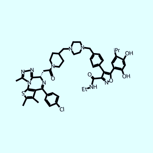 CCNC(=O)c1noc(-c2cc(C(C)C)c(O)cc2O)c1-c1ccc(CN2CCN(CC3CCN(C(=O)C[C@@H]4N=C(c5ccc(Cl)cc5)c5c(sc(C)c5C)-n5c(C)nnc54)CC3)CC2)cc1